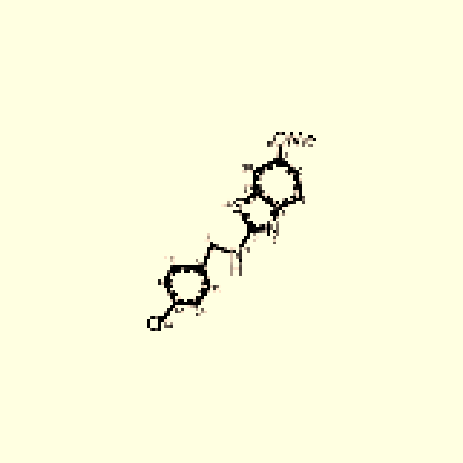 COc1ccc2nc(NCc3ccc(Cl)cc3)sc2c1